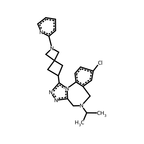 CC(C)N1Cc2cc(Cl)ccc2-n2c(nnc2C2CC3(C2)CN(c2ccccn2)C3)C1